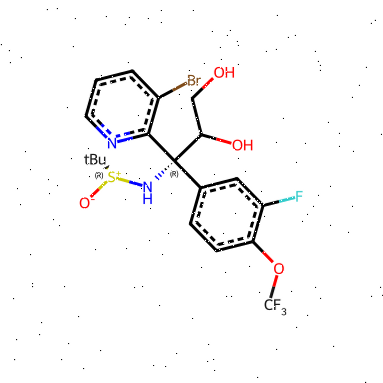 CC(C)(C)[S@+]([O-])N[C@](c1ccc(OC(F)(F)F)c(F)c1)(c1ncccc1Br)C(O)CO